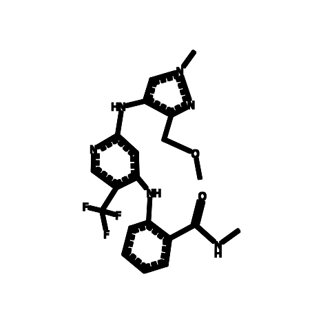 CNC(=O)c1ccccc1Nc1cc(Nc2cn(C)nc2COC)ncc1C(F)(F)F